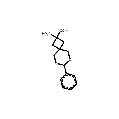 O=C(O)C1(C(=O)O)CC2(COC(c3ccccc3)OC2)C1